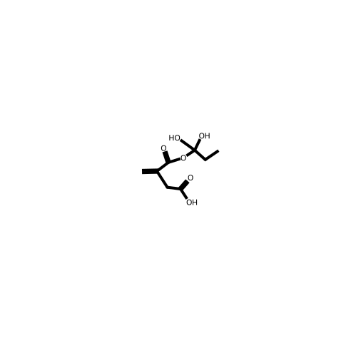 C=C(CC(=O)O)C(=O)OC(O)(O)CC